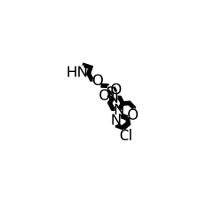 O=S(=O)(CCOCC1CCN1)N1CCN2c3ncc(Cl)cc3OCCC2C1